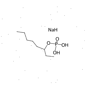 CCCCCC(CC)OP(=O)(O)O.[NaH]